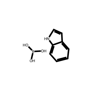 OB(O)O.c1ccc2[nH]ccc2c1